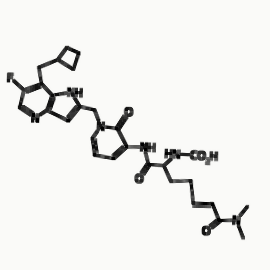 CN(C)C(=O)C=CCCC(NC(=O)O)C(=O)Nc1cccn(Cc2cc3ncc(F)c(CC4CCC4)c3[nH]2)c1=O